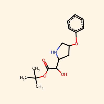 CC(C)(C)OC(=O)C(O)C1CC(Oc2ccccc2)CN1